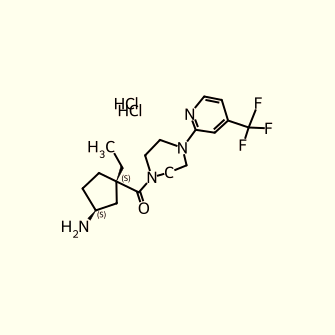 CC[C@]1(C(=O)N2CCN(c3cc(C(F)(F)F)ccn3)CC2)CC[C@H](N)C1.Cl.Cl